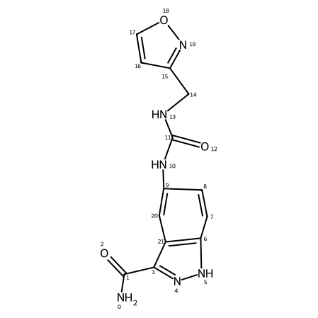 NC(=O)c1n[nH]c2ccc(NC(=O)NCc3ccon3)cc12